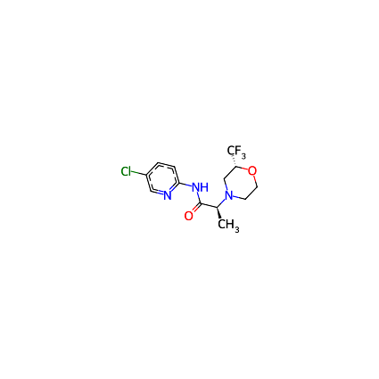 C[C@@H](C(=O)Nc1ccc(Cl)cn1)N1CCO[C@@H](C(F)(F)F)C1